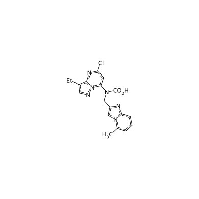 CCc1cnn2c(N(Cc3cn4c(C)cccc4n3)C(=O)O)cc(Cl)nc12